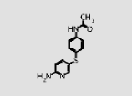 CC(=O)Nc1ccc(Sc2ccc(N)nc2)cc1